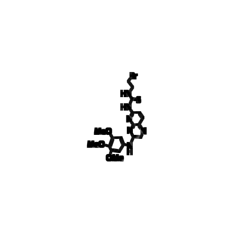 COc1cc(Nc2cnc3ccc(NC(=S)NCCBr)nc3n2)cc(OC)c1OC